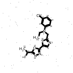 CCN(Cc1ncc(-c2nnc(C(C)F)o2)s1)c1cccc(Cl)c1